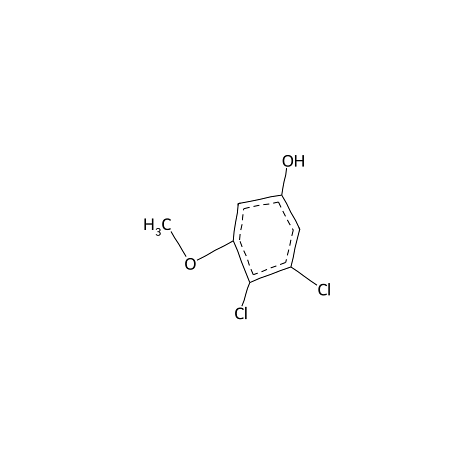 COc1cc(O)cc(Cl)c1Cl